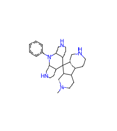 CN1CCC2C3CCNCC3C3(C2C1)C1CCNCC1N(c1ccccc1)C1CNCCC13